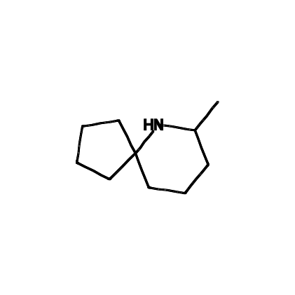 CC1CCCC2(CCCC2)N1